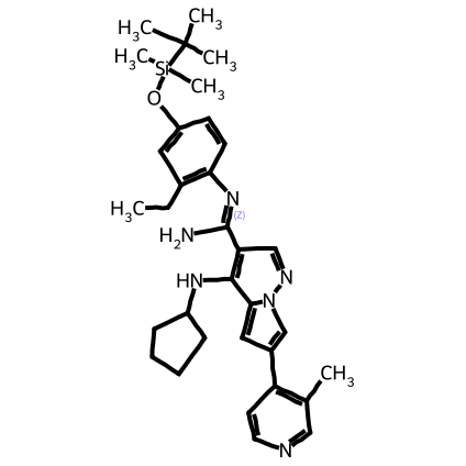 CCc1cc(O[Si](C)(C)C(C)(C)C)ccc1/N=C(\N)c1cnn2cc(-c3ccncc3C)cc2c1NC1CCCC1